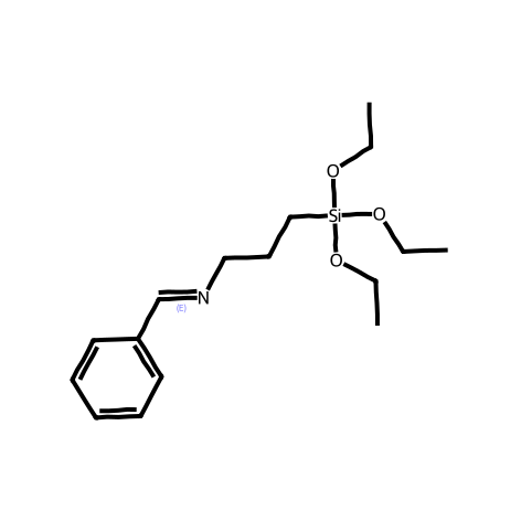 CCO[Si](CCC/N=C/c1ccccc1)(OCC)OCC